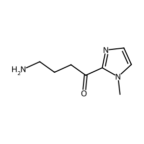 Cn1ccnc1C(=O)CCCN